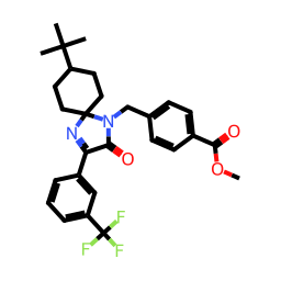 COC(=O)c1ccc(CN2C(=O)C(c3cccc(C(F)(F)F)c3)=NC23CCC(C(C)(C)C)CC3)cc1